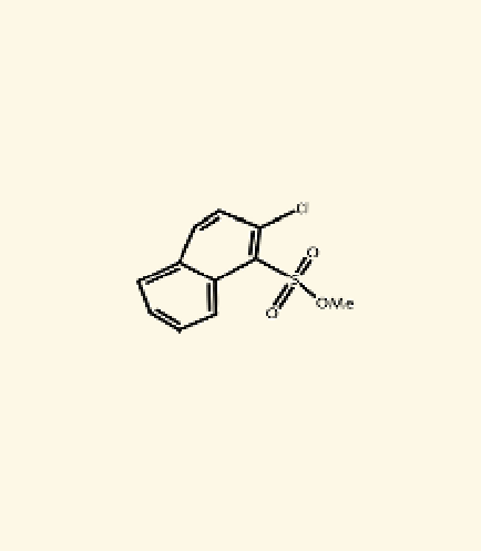 [CH2]OS(=O)(=O)c1c(Cl)ccc2ccccc12